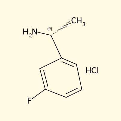 C[C@@H](N)c1cccc(F)c1.Cl